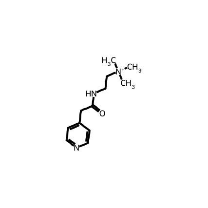 C[N+](C)(C)CCNC(=O)Cc1ccncc1